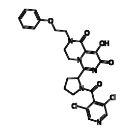 O=C1c2c(O)c(=O)nc(C3CCCN3C(=O)c3c(Cl)cncc3Cl)n2CCN1CCOc1ccccc1